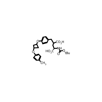 Cc1ccc(OC2CC(Oc3ccc(CC(C[C@@H](NC(=O)OC(C)(C)C)C(=O)O)C(=O)O)cc3)C2)cc1